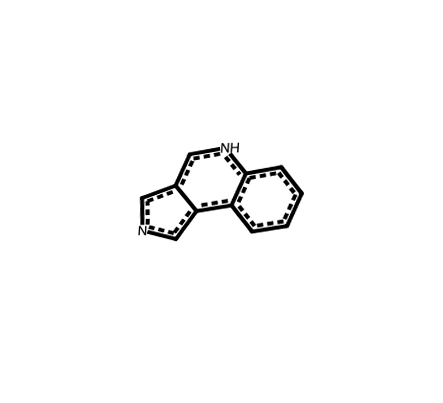 c1ccc2c3cncc-3c[nH]c2c1